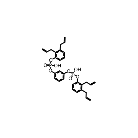 C=CCc1cccc(OP(=O)(O)Oc2cccc(OP(=O)(O)Oc3cccc(CC=C)c3CC=C)c2)c1CC=C